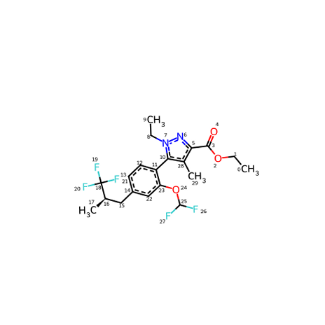 CCOC(=O)c1nn(CC)c(-c2ccc(C[C@@H](C)C(F)(F)F)cc2OC(F)F)c1C